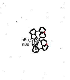 CCC[CH2][Hf]1([CH2]CCC)[CH]2C(CC)=C(c3c(-c4ccccc4)cccc32)[Si](c2ccccc2)(c2ccccc2)C2=C(CC)[CH]1c1cccc(-c3ccccc3)c12